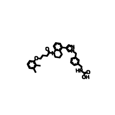 Cc1cccc(OCCCC(=O)N2CCCc3c(-c4cnn(Cc5cccc(CNC(=O)O)c5)c4)cccc32)c1C